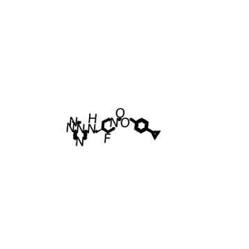 O=C(OCc1ccc(C2CC2)cc1)N1CC[C@H](CNc2cncc3nncn23)[C@H](F)C1